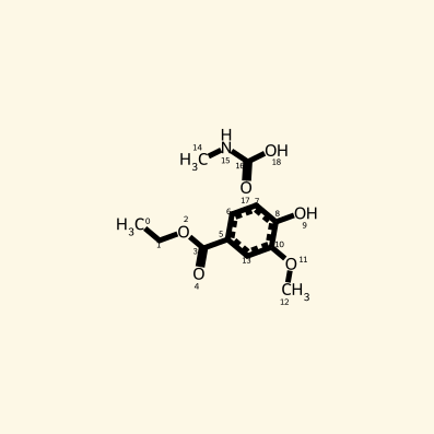 CCOC(=O)c1ccc(O)c(OC)c1.CNC(=O)O